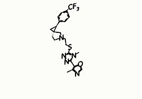 Cc1ncoc1-c1nnc(SCCN2CC[C@@]3(C[C@H]3c3ccc(C(F)(F)F)cc3)C2)n1C